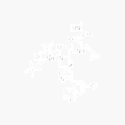 CNC(=O)C(=O)[C@H](CC1CC1)NC(=O)[C@@H]1C[C@]2(CC(c3cc(Cl)cc4c3OCO4)=NO2)CN1C(=O)[C@@H](NC(=O)OC(C)(C)C)C(C)(C)C